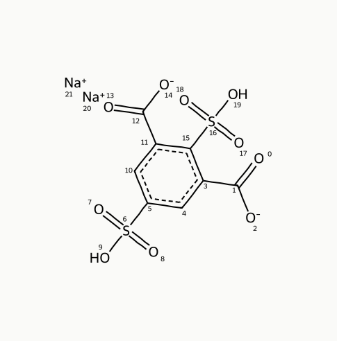 O=C([O-])c1cc(S(=O)(=O)O)cc(C(=O)[O-])c1S(=O)(=O)O.[Na+].[Na+]